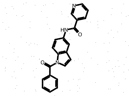 O=C(Nc1ccc2c(ccn2C(=O)c2ccccc2)c1)c1cccnc1